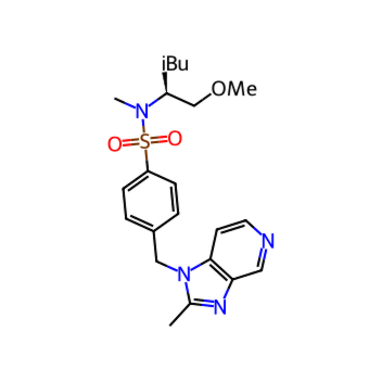 CCC(C)[C@@H](COC)N(C)S(=O)(=O)c1ccc(Cn2c(C)nc3cnccc32)cc1